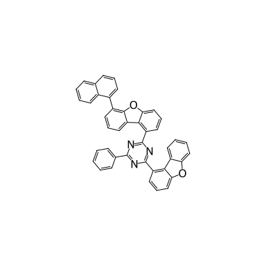 c1ccc(-c2nc(-c3cccc4oc5ccccc5c34)nc(-c3cccc4oc5c(-c6cccc7ccccc67)cccc5c34)n2)cc1